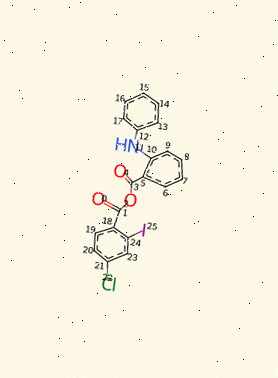 O=C(OC(=O)c1ccccc1Nc1ccccc1)c1ccc(Cl)cc1I